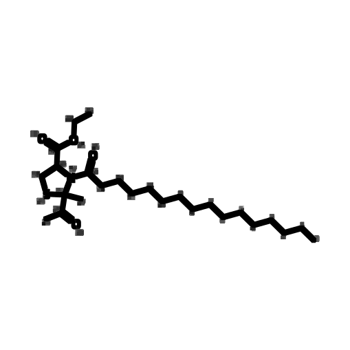 CCCCCCCCCCCCCCCC(=O)N1C(C(=O)OCC)CSC1(C)C(C)=O